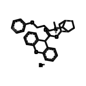 C[N+](C)(CCCOc1ccccc1)C1C2CCC1C(OC(=O)C1c3ccccc3Oc3ccccc31)C2.[Br-]